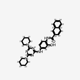 O=C(Nc1ccc(Nc2nc(N3CCCCC3)nc(N3CCCCC3)n2)cc1O)c1ccc2ccccc2c1